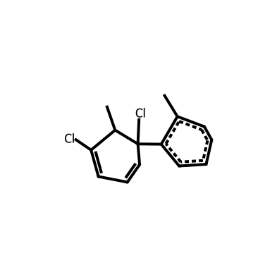 Cc1ccccc1C1(Cl)C=CC=C(Cl)C1C